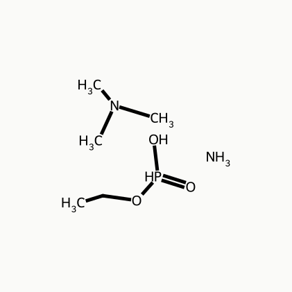 CCO[PH](=O)O.CN(C)C.N